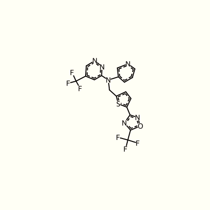 FC(F)(F)c1cnnc(N(Cc2ccc(-c3noc(C(F)(F)F)n3)s2)c2cccnc2)c1